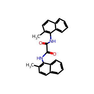 Cc1ccc2ccccc2c1NC(=O)C(=O)Nc1c(C)ccc2ccccc12